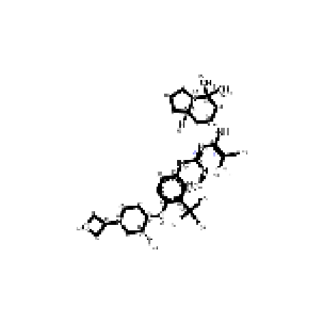 C=N/C(=N\C(N[C@@H]1C[C@@H]2CCCN2C(C)(C)C1)=C(/C)F)Nc1ccc(O[C@@H]2CCN(C3COC3)C[C@H]2F)c(C(F)(F)F)c1